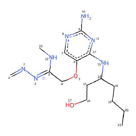 C=N/N=C(/COc1cnc(N)nc1NC(CCO)CCCC)NC